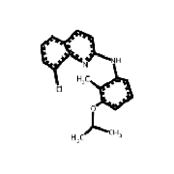 Cc1c(Nc2ccc3cccc(Cl)c3n2)cccc1OC(C)C